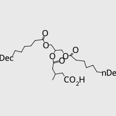 CCCCCCCCCCCCCCCC(=O)OCC(COC(=O)CCCCCCCCCCCCCCC)OC(=O)CC(C)CC(=O)O